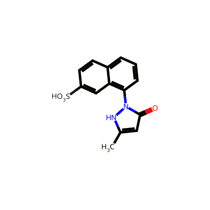 Cc1cc(=O)n(-c2cccc3ccc(S(=O)(=O)O)cc23)[nH]1